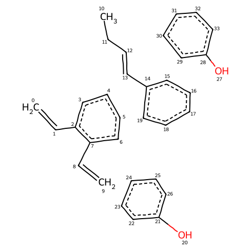 C=Cc1ccccc1C=C.CCC=Cc1ccccc1.Oc1ccccc1.Oc1ccccc1